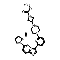 C=C[C@H]1CCCN1c1ccc2ncc(-c3cccc(N4CCN(C5CN(C(=O)OC(C)(C)C)C5)CC4)n3)n2n1